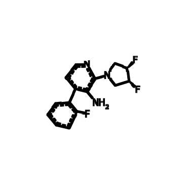 Nc1c(-c2ccccc2F)ccnc1N1C[C@@H](F)[C@@H](F)C1